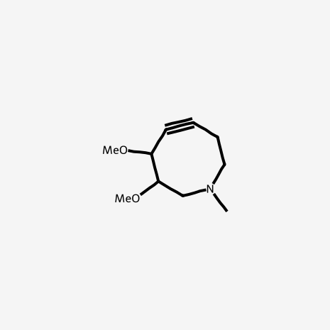 COC1C#CCCN(C)CC1OC